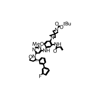 C=CC(=O)Nc1cc(Nc2cc(N3OCC[C@@H]3c3cccc(-c4cccc(F)c4)c3)ncn2)c(OC)cc1N1CC2(CN(C(=O)OC(C)(C)C)C2)C1